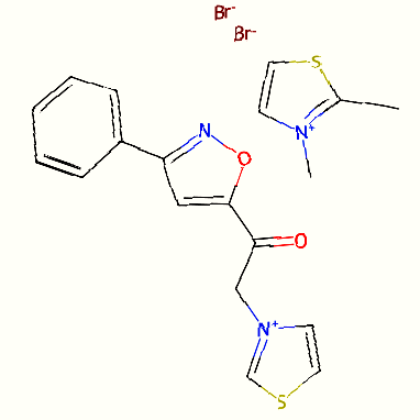 Cc1scc[n+]1C.O=C(C[n+]1ccsc1)c1cc(-c2ccccc2)no1.[Br-].[Br-]